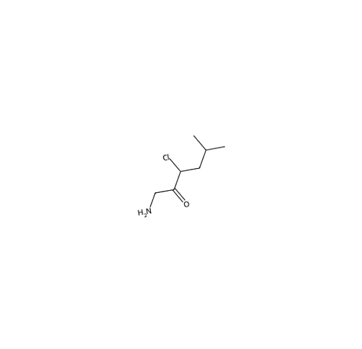 CC(C)CC(Cl)C(=O)CN